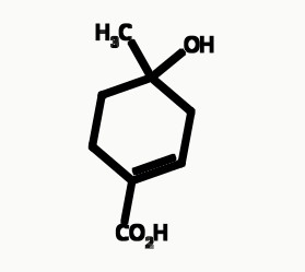 CC1(O)CC=C(C(=O)O)CC1